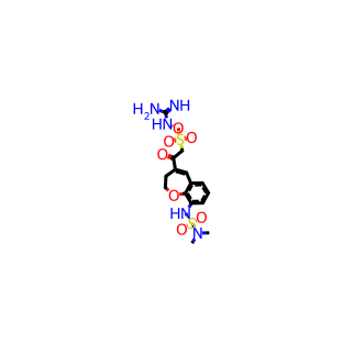 CN(C)S(=O)(=O)Nc1cccc2c1OCCC(C(=O)CS(=O)(=O)ONC(=N)N)=C2